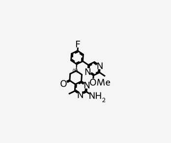 COc1nc(-c2cc(F)ccc2[C@@H]2CC(=O)c3c(C)nc(N)nc3C2)cnc1C